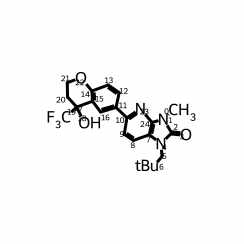 Cn1c(=O)n(CC(C)(C)C)c2ccc(-c3ccc4c(c3)C(O)(C(F)(F)F)CCO4)nc21